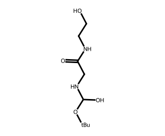 CC(C)(C)OC(O)NCC(=O)NCCO